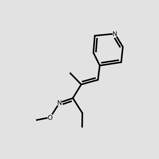 CCC(=N\OC)/C(C)=C/c1ccncc1